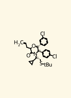 C=CCC1O[C@H](c2cccc(Cl)c2)[C@@H](c2ccc(Cl)cc2)N([C@H](CSC(C)(C)C)C2CC2)C1=O